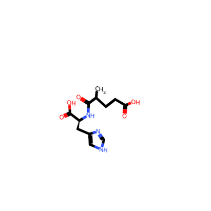 CC(CCC(=O)O)C(=O)N[C@@H](Cc1c[nH]cn1)C(=O)O